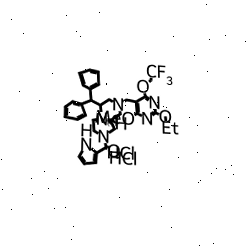 CCOc1nc(OC)c(CN2CC(C(c3ccccc3)c3ccccc3)N3CCN(C(=O)c4ccc[nH]4)C[C@H]3C2)c(OCC(F)(F)F)n1.Cl.Cl